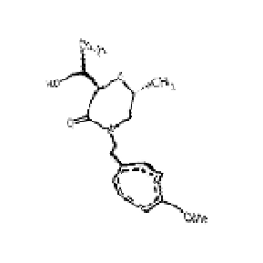 COc1ccc(CN2C[C@@H](C)O[C@H](C(O)C(=O)O)C2=O)cc1